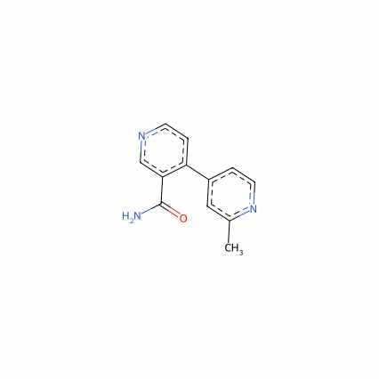 Cc1cc(-c2ccncc2C(N)=O)ccn1